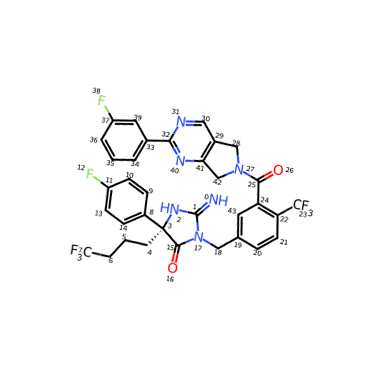 N=C1N[C@](CCCC(F)(F)F)(c2ccc(F)cc2)C(=O)N1Cc1ccc(C(F)(F)F)c(C(=O)N2Cc3cnc(-c4cccc(F)c4)nc3C2)c1